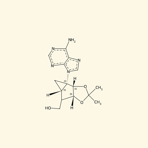 CC1(C)O[C@@H]2C(CO)[C@@H]3C[C@@]3(n3cnc4c(N)ncnc43)[C@@H]2O1